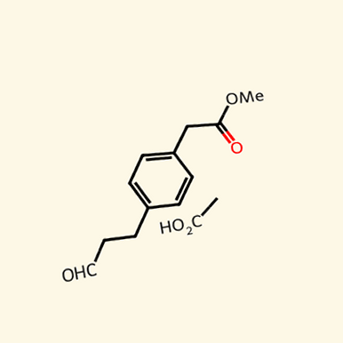 CC(=O)O.COC(=O)Cc1ccc(CCC=O)cc1